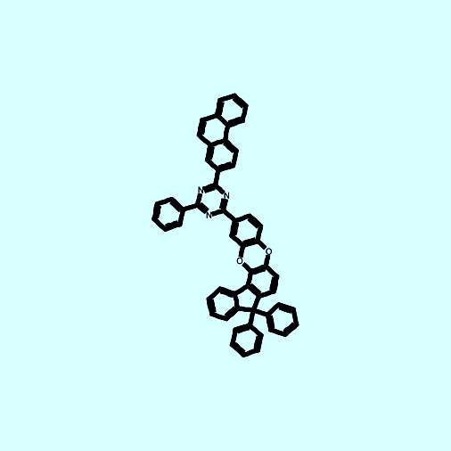 c1ccc(-c2nc(-c3ccc4c(c3)Oc3c(ccc5c3-c3ccccc3C5(c3ccccc3)c3ccccc3)O4)nc(-c3ccc4c(ccc5ccccc54)c3)n2)cc1